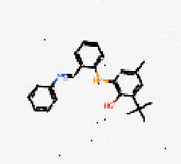 Cc1cc(Pc2ccccc2/C=N/c2ccccc2)c(O)c(C(C)(C)C)c1